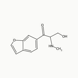 CNC(CO)C(=O)c1ccc2ccoc2c1